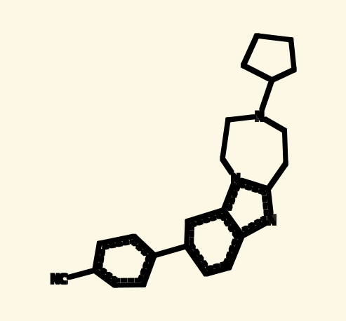 N#Cc1ccc(-c2ccc3nc4n(c3c2)CCN(C2CCCC2)CC4)cc1